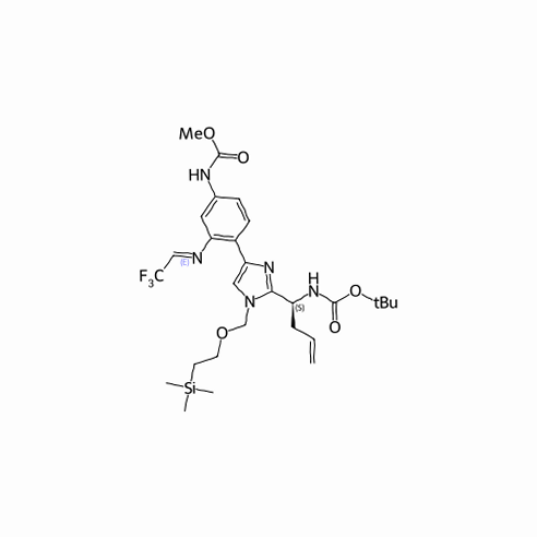 C=CC[C@H](NC(=O)OC(C)(C)C)c1nc(-c2ccc(NC(=O)OC)cc2/N=C/C(F)(F)F)cn1COCC[Si](C)(C)C